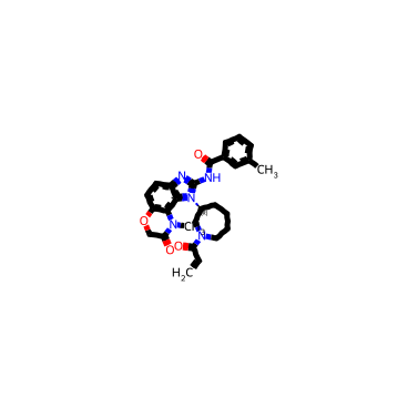 C=CC(=O)N1CCCC[C@@H](n2c(NC(=O)c3cccc(C)c3)nc3ccc4c(c32)N(C)C(=O)CO4)C1